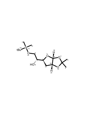 CC1(C)O[C@H]2O[C@H]([C@H](O)CO[Si](C)(C)C(C)(C)C)C[C@H]2O1